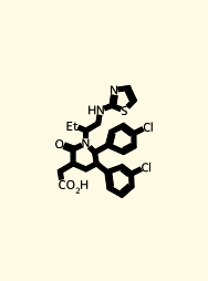 CCC(CNc1nccs1)N1C(=O)C(CC(=O)O)CC(c2cccc(Cl)c2)C1c1ccc(Cl)cc1